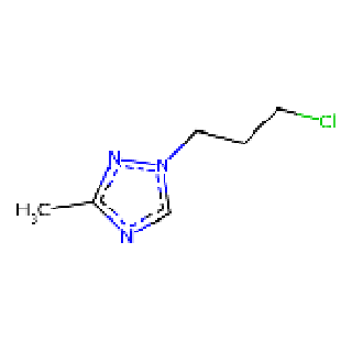 Cc1ncn(CCCCl)n1